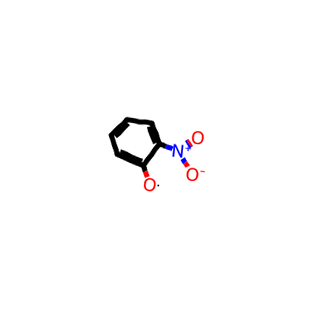 [O]c1ccccc1[N+](=O)[O-]